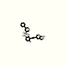 O=S(=O)(Nc1ccc(F)c(C#Cc2cnc3[nH]ncc3c2)c1F)c1cncc(-c2ccccc2)c1